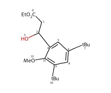 CCOC(=O)CC(O)c1cc(C(C)(C)C)cc(C(C)(C)C)c1OC